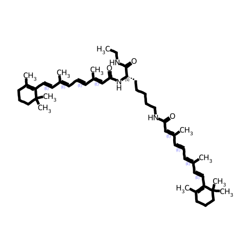 CCNC(=O)[C@H](CCCCCNC(=O)/C=C(C)/C=C/C=C(C)/C=C/C1=C(C)CCCC1(C)C)NC(=O)/C=C(C)/C=C/C=C(C)/C=C/C1=C(C)CCCC1(C)C